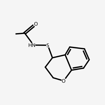 CC(=O)NSC1CCOc2ccccc21